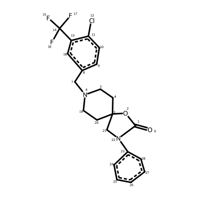 O=C1OC2(CCN(Cc3ccc(Cl)c(C(F)(F)F)c3)CC2)CN1c1ccccc1